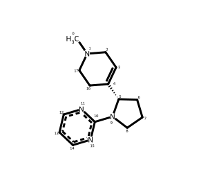 CN1CC=C([C@@H]2CCCN2c2ncccn2)CC1